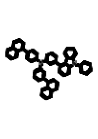 c1ccc(-n2c3ccccc3c3c(-c4cccc(N(c5ccc(-c6cccc7ccccc67)cc5)c5cccc(-c6cccc7ccccc67)c5)c4)cccc32)cc1